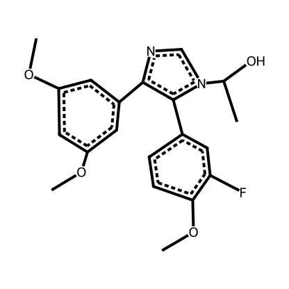 COc1cc(OC)cc(-c2ncn(C(C)O)c2-c2ccc(OC)c(F)c2)c1